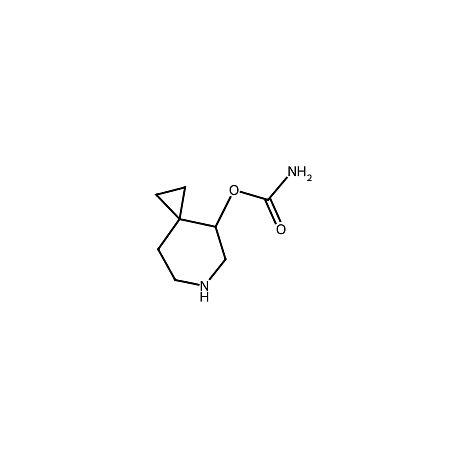 NC(=O)OC1CNCCC12CC2